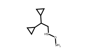 [SiH3]O[SiH]CC(C1CC1)C1CC1